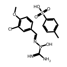 COc1ccc(C=NN(O)C(=N)N)cc1Cl.Cc1ccc(S(=O)(=O)O)cc1